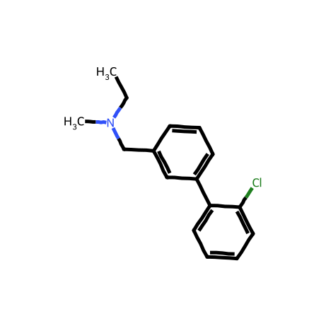 CCN(C)Cc1cccc(-c2ccccc2Cl)c1